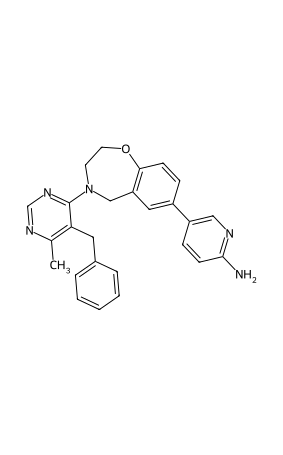 Cc1ncnc(N2CCOc3ccc(-c4ccc(N)nc4)cc3C2)c1Cc1ccccc1